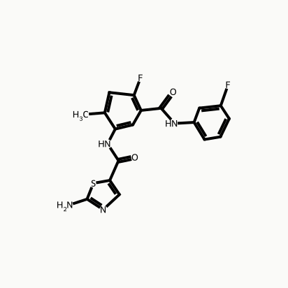 Cc1cc(F)c(C(=O)Nc2cccc(F)c2)cc1NC(=O)c1cnc(N)s1